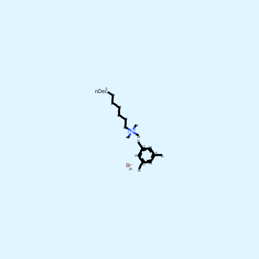 CCCCCCCCCCCCCCCC[N+](C)(C)C.Cc1cc(C)cc(C)c1.[Br-]